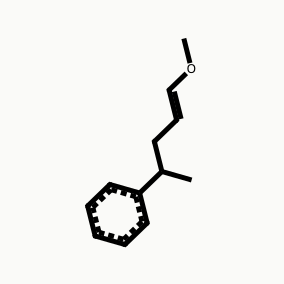 COC=CCC(C)c1ccccc1